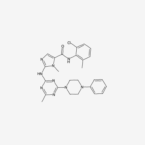 Cc1nc(Nc2ncc(C(=O)Nc3c(C)cccc3Cl)n2C)nc(N2CCN(c3ccccc3)CC2)n1